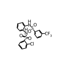 O=S(=O)(Nc1ccccc1NS(=O)(=O)c1ccccc1Cl)c1cccc(C(F)(F)F)c1